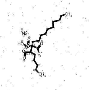 CCCCCCCCCCC(C(=O)[O-])(C(CCCCC)C(=O)[O-])S(=O)(=O)O.[Na+].[Na+]